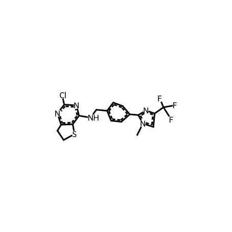 Cn1cc(C(F)(F)F)nc1-c1ccc(CNc2nc(Cl)nc3c2SCC3)cc1